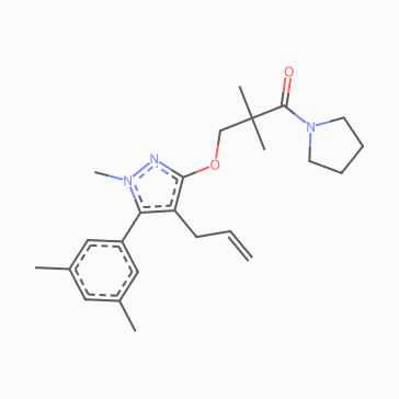 C=CCc1c(OCC(C)(C)C(=O)N2CCCC2)nn(C)c1-c1cc(C)cc(C)c1